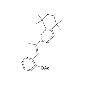 CC(=O)Oc1ccccc1C=C(C)c1ccc2c(c1)C(C)(C)CCC2(C)C